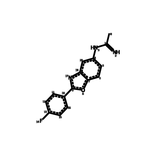 CC(=N)Nc1ccc2oc(-c3ccc(F)cc3)nc2c1